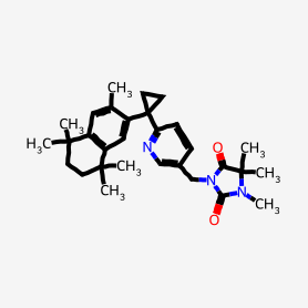 Cc1cc2c(cc1C1(c3ccc(CN4C(=O)N(C)C(C)(C)C4=O)cn3)CC1)C(C)(C)CCC2(C)C